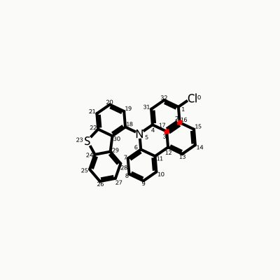 Clc1ccc(N(c2ccccc2-c2ccccc2)c2cccc3sc4ccccc4c23)cc1